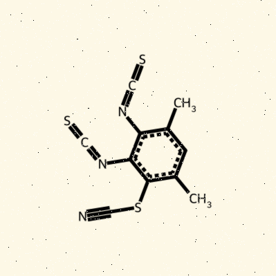 Cc1cc(C)c(SC#N)c(N=C=S)c1N=C=S